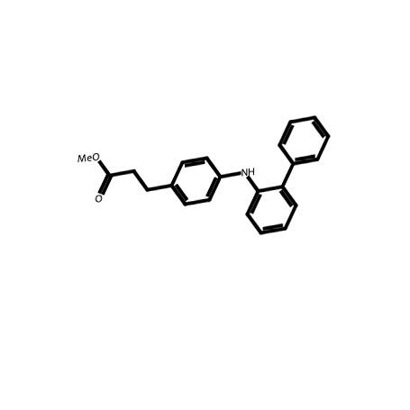 COC(=O)CCc1ccc(Nc2ccccc2-c2ccccc2)cc1